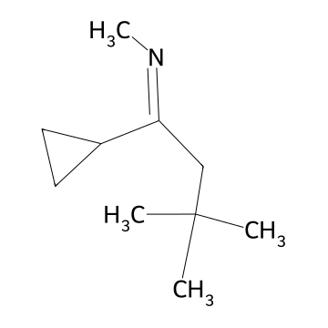 C/N=C(/CC(C)(C)C)C1CC1